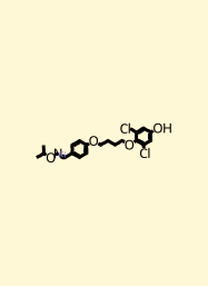 CC(C)O/N=C/c1ccc(OCCCCOc2c(Cl)cc(O)cc2Cl)cc1